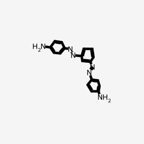 Nc1ccc(N=Nc2cccc(N=Nc3ccc(N)cc3)c2)cc1